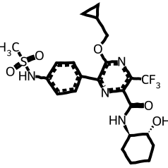 CS(=O)(=O)Nc1ccc(-c2nc(C(=O)N[C@@H]3CCCC[C@H]3O)c(C(F)(F)F)nc2OCC2CC2)cc1